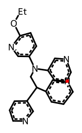 CCOc1ccc(N(CC(c2cccnc2)c2cccnc2)c2cccnc2)cn1